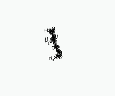 CCc1nc(C(=O)N2CCOC3(CCN(Cc4cccc(CCOCCC(=O)N(CCNCCc5ccc(O)c6c5OCC(=O)N6)[C@H](C)CC)c4Cl)CC3)C2)cs1